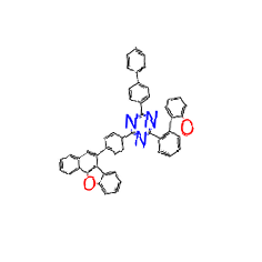 c1ccc(-c2ccc(-c3nc(-c4ccc(-c5cc6ccccc6c6oc7ccccc7c56)cc4)nc(-c4cccc5oc6ccccc6c45)n3)cc2)cc1